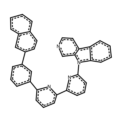 c1cc(-c2ccc3ccccc3c2)cc(-c2cccc(-c3cccc(-n4c5ccccc5c5ccncc54)n3)n2)c1